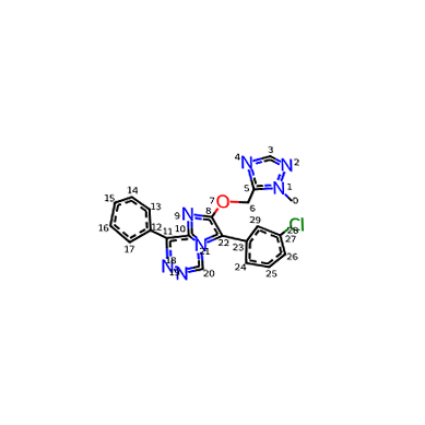 Cn1ncnc1COc1nc2c(-c3ccccc3)nncn2c1-c1cccc(Cl)c1